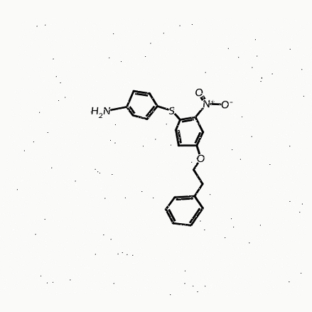 Nc1ccc(Sc2ccc(OCCc3ccccc3)cc2[N+](=O)[O-])cc1